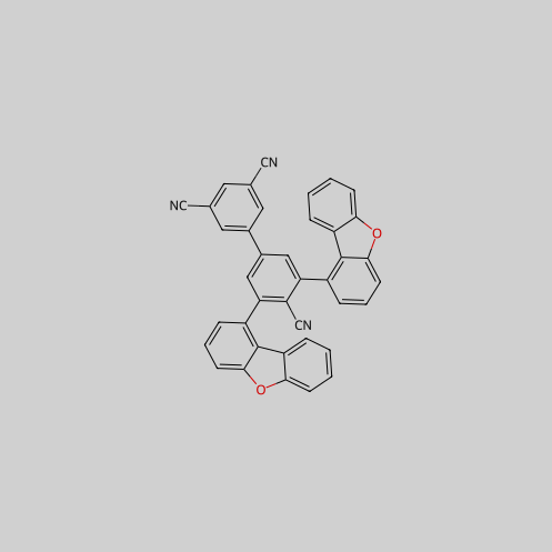 N#Cc1cc(C#N)cc(-c2cc(-c3cccc4oc5ccccc5c34)c(C#N)c(-c3cccc4oc5ccccc5c34)c2)c1